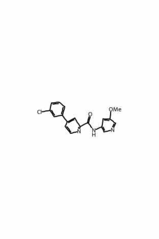 COc1cncc(NC(=O)c2cc(-c3cccc(Cl)c3)ccn2)c1